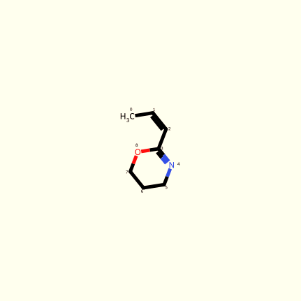 C/C=C\C1=NCCCO1